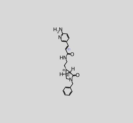 Nc1ccc(/C=C/C(=O)NCC[C@@H]2[C@H]3CN(Cc4ccccc4)C(=O)[C@@H]23)cn1